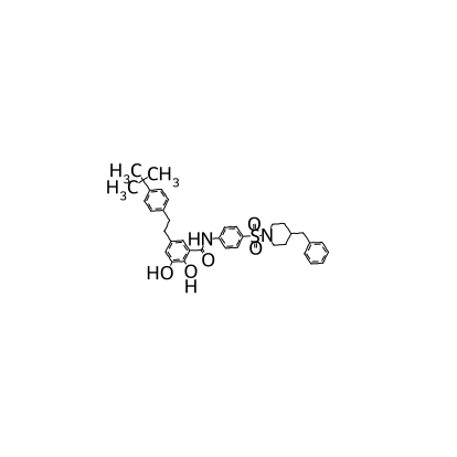 CC(C)(C)c1ccc(CCc2cc(O)c(O)c(C(=O)Nc3ccc(S(=O)(=O)N4CCC(Cc5ccccc5)CC4)cc3)c2)cc1